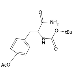 CC(=O)Oc1ccc(CC(NC(=O)OC(C)(C)C)C(N)=O)cc1